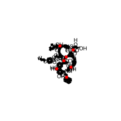 CC[C@H](CC(C)C)C(=O)N[C@H]1C(=O)C[C@@H](CC(=O)NS(=O)(=O)c2ccc(OCCN(C)C)cc2)C(=O)N[C@H]2C(=O)C[C@H]3C(=O)N[C@H](C(=O)N[C@H](C(=O)CC4C5CC6CC(C5)CC4C6)c4cc(O)cc(O)c4-c4cc3ccc4O)[C@H](O)c3ccc(c(Cl)c3)Oc3cc2cc(c3O[C@@H]2O[C@H](CO)[C@@H](O)[C@H](O)[C@H]2O)Oc2ccc(cc2Cl)[C@H]1O